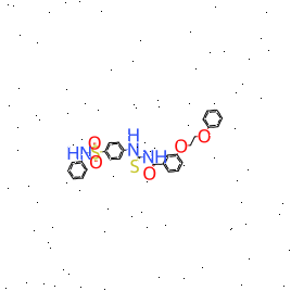 O=C(NC(=S)Nc1ccc(S(=O)(=O)Nc2ccccc2)cc1)c1cccc(OCCOc2ccccc2)c1